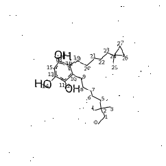 CCC(C)(C)CCCCCc1c(O)c(O)cc(O)c1CCCCCC1(C)CC1